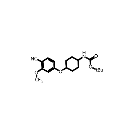 CC(C)(C)OC(=O)NC1CCC(Oc2ccc(C#N)c(OC(F)(F)F)c2)CC1